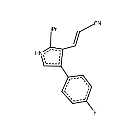 CC(C)c1[nH]cc(-c2ccc(F)cc2)c1/C=C/C#N